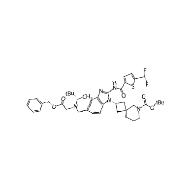 C[C@H](N(CC(=O)OCc1ccccc1)Cc1ccc2c(c1)nc(NC(=O)c1ccc(C(F)F)s1)n2[C@H]1C[C@@]2(CCCN(C(=O)OC(C)(C)C)C2)C1)C(C)(C)C